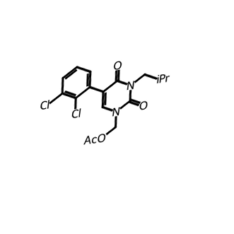 CC(=O)OCn1cc(-c2cccc(Cl)c2Cl)c(=O)n(CC(C)C)c1=O